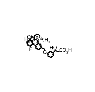 COc1ccc(F)c(-c2ccc(COc3cccc([C@H](O)CC(=O)O)c3)cc2C2N(C)CCCC2(C)C)c1